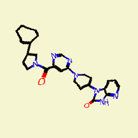 O=C(c1cc(N2CCC(n3c(=O)[nH]c4ncccc43)CC2)ncn1)N1CCC(C2CCCCC2)C1